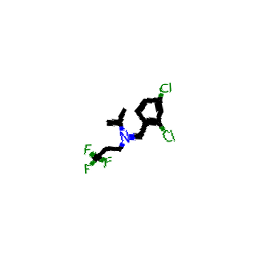 CC(C)N(CCC(F)(F)F)Cc1ccc(Cl)cc1Cl